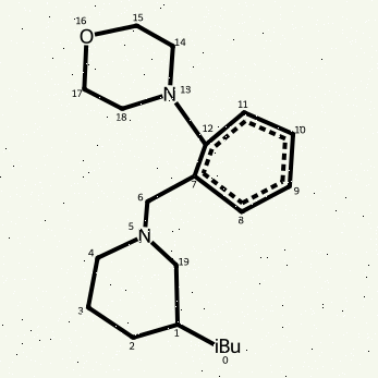 CCC(C)C1CCCN(Cc2ccccc2N2CCOCC2)C1